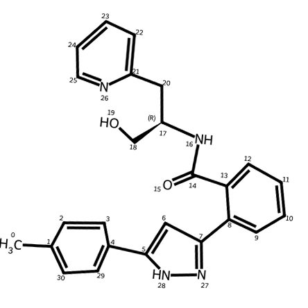 Cc1ccc(-c2cc(-c3ccccc3C(=O)N[C@@H](CO)Cc3ccccn3)n[nH]2)cc1